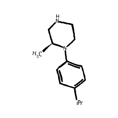 CC(C)c1ccc(N2CCNC[C@@H]2C)cc1